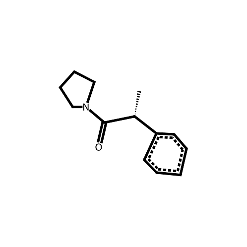 C[C@@H](C(=O)N1CCCC1)c1ccccc1